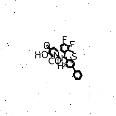 O=C(O)c1c(O)c(=O)ccn1NC1c2ccc(-c3ccccc3)cc2SCc2c1ccc(F)c2F